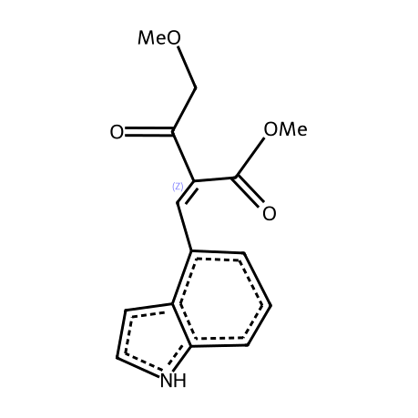 COCC(=O)/C(=C/c1cccc2[nH]ccc12)C(=O)OC